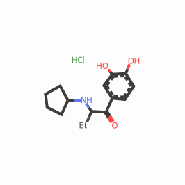 CCC(NC1CCCC1)C(=O)c1ccc(O)c(O)c1.Cl